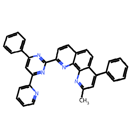 Cc1cc(-c2ccccc2)c2ccc3ccc(-c4nc(-c5ccccc5)cc(-c5ccccn5)n4)nc3c2n1